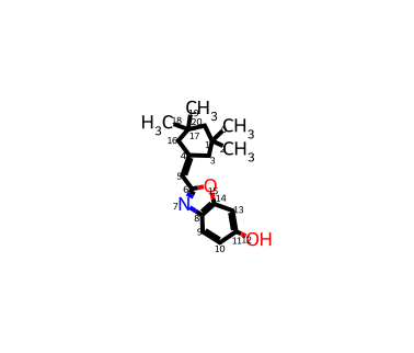 CC1(C)CC(=Cc2nc3ccc(O)cc3o2)CC(C)(C)C1